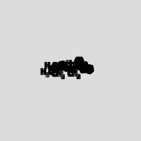 C=C(/N=C(\C)c1cn(S(=O)(=O)c2ccccc2)c2ccccc12)NCC1CCCN(C(=C)OC(C)(C)C)C1